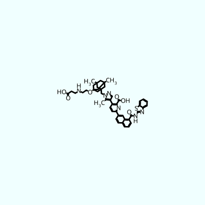 Cc1c(-c2ccc(-c3ccc4cccc(C(=O)Nc5nc6ccccc6s5)c4c3)nc2C(=O)O)cnn1CC12CC3(C)CC(C)(C1)CC(OCCNCCC(=O)O)(C3)C2